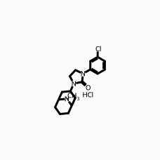 CN1C2CCCC1CC(N1CCN(c3cccc(Cl)c3)C1=O)C2.Cl